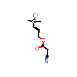 C[Si](C)(Cl)C=CCOC(=O)CC#N